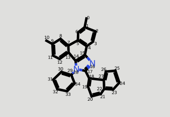 Cc1ccc2c(c1)c1cc(C)ccc1c1c2nc(-c2cccc3ccccc23)n1-c1ccccc1